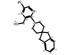 CC(C)c1cnc(N2CCC3(CC2)Cc2ccccc2C3)c(CO)n1